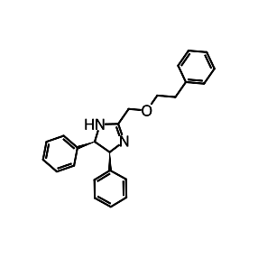 c1ccc(CCOCC2=N[C@@H](c3ccccc3)[C@@H](c3ccccc3)N2)cc1